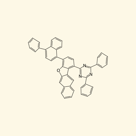 c1ccc(-c2nc(-c3ccccc3)nc(-c3ccc(-c4ccc(-c5ccccc5)c5ccccc45)c4oc5cc6ccccc6cc5c34)n2)cc1